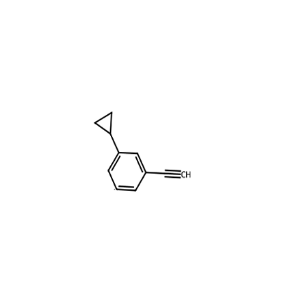 C#Cc1c[c]cc(C2CC2)c1